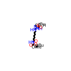 COC(=O)C(NC(=O)CCCCCCNC(=NC(=O)O)NC(=O)OC(C)(C)C)O[Si](C)(C)C(C)(C)C